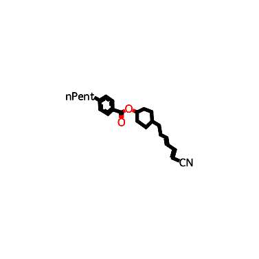 CCCCCc1ccc(C(=O)OC2CCC(CCC=CC=CC#N)CC2)cc1